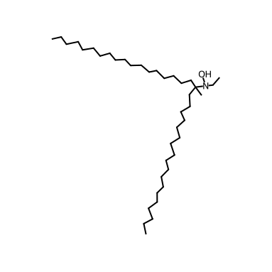 CCCCCCCCCCCCCCCCCCC(C)(CCCCCCCCCCCCCCCCCC)N(O)CC